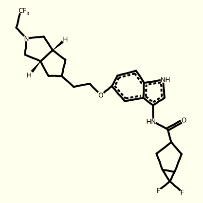 O=C(Nc1c[nH]c2ccc(OCCC3C[C@@H]4CN(CC(F)(F)F)C[C@@H]4C3)cc12)C1CC2C(C1)C2(F)F